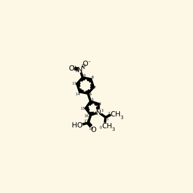 CC(C)n1cc(-c2ccc([N+](=O)[O-])cc2)cc1C(=O)O